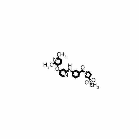 Cc1ccc(Oc2ccnc(Nc3cccc(C(=O)N4CCC(S(C)(=O)=O)C4)c3)c2)c(C)n1